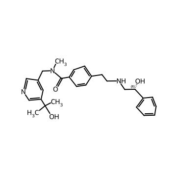 CN(Cc1cncc(C(C)(C)O)c1)C(=O)c1ccc(CCNC[C@H](O)c2ccccc2)cc1